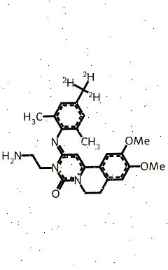 [2H]C([2H])([2H])c1cc(C)c(N=c2cc3n(c(=O)n2CCN)CCc2cc(OC)c(OC)cc2-3)c(C)c1